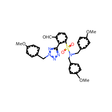 COc1ccc(CN(Cc2ccc(OC)cc2)S(=O)(=O)c2cccc(C=O)c2-c2nnn(Cc3ccc(OC)cc3)n2)cc1